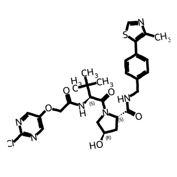 Cc1ncsc1-c1ccc(CNC(=O)[C@@H]2C[C@@H](O)CN2C(=O)[C@@H](NC(=O)COc2cnc(Cl)nc2)C(C)(C)C)cc1